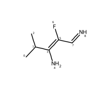 CC(C)/C(N)=C(\F)C=N